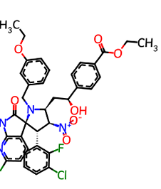 CCOC(=O)c1ccc([C@@H](O)C[C@H]2[C@@H]([N+](=O)[O-])[C@H](c3cccc(Cl)c3F)[C@]3(C(=O)Nc4nc(Cl)ccc43)N2Cc2cccc(OCC)c2)cc1